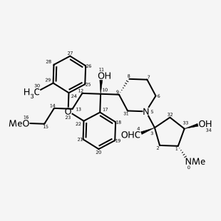 CN[C@@H]1C[C@](C=O)(N2CCC[C@@H]([C@@](O)(CCCCOC)c3ccccc3Oc3ccccc3C)C2)C[C@H]1O